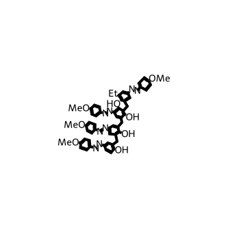 CCc1cc(N=Nc2ccc(OC)cc2)cc(Cc2cc(N=Nc3ccc(OC)cc3)cc(Cc3cc(N=Nc4ccc(OC)cc4)cc(Cc4cc(N=Nc5ccc(OC)cc5)ccc4O)c3O)c2O)c1O